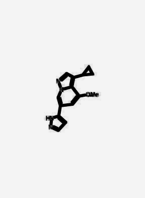 COc1cc(-c2ccn[nH]2)cn2ncc(C3CC3)c12